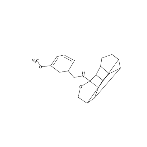 COC1=CC=CC(CNC23OCC4C5CCC6C7C5C4C2C7C63)C1